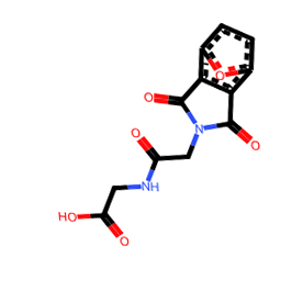 O=C(O)CNC(=O)CN1C(=O)c2c(c3ccc2o3)C1=O